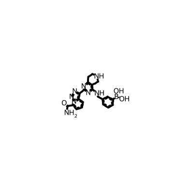 NC(=O)c1cccc2c(-c3nc4c(c(NCc5cccc(B(O)O)c5)n3)CNCC4)nnn12